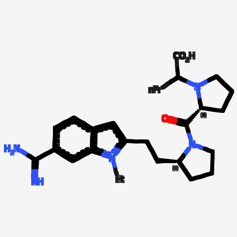 CCCC(C(=O)O)N1CCC[C@@H]1C(=O)N1CCC[C@H]1CCc1cc2ccc(C(=N)N)cc2n1CC